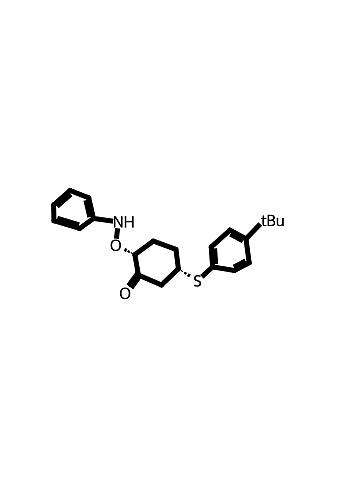 CC(C)(C)c1ccc(S[C@H]2CC[C@@H](ONc3ccccc3)C(=O)C2)cc1